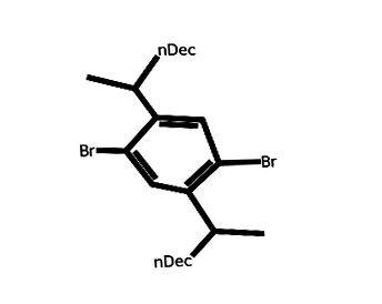 CCCCCCCCCCC(C)c1cc(Br)c(C(C)CCCCCCCCCC)cc1Br